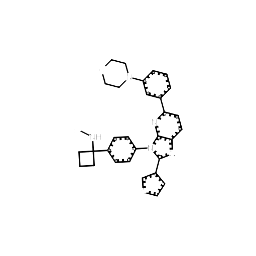 ClNC1(c2ccc(-n3c(-c4ccsc4)nc4ccc(-c5cccc(N6CCOCC6)c5)nc43)cc2)CCC1